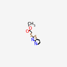 CCOC(=O)CSc1nc2ncccc2s1